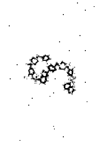 Cc1cc(C(=O)N2CCN(Cc3ccccc3)CC2)ccc1NS(=O)(=O)c1cccc2cc(-c3ccc(CN4CCN(C(=O)c5ccc(NS(=O)(=O)c6cccc7cccnc67)cc5Cl)CC4)cc3)cnc12